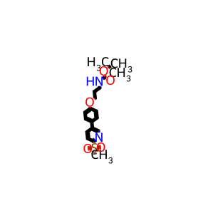 CC(C)(C)OC(=O)NCCCOc1ccc(-c2ccc(S(C)(=O)=O)nc2)cc1